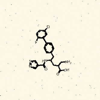 NCC(CC(Cc1ccc(-c2cc(Cl)ccc2F)cc1)NC(=O)c1cnsc1)C(=O)O